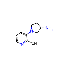 N#Cc1ncccc1N1CCC(N)C1